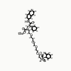 CN(CCOCCOCCOCCOCCN(C[C@@H](C(=O)Nc1ccc2cnccc2c1)c1ccccc1)C(=O)OC(C)(C)C)S(=O)(=O)c1ccccc1[N+](=O)[O-]